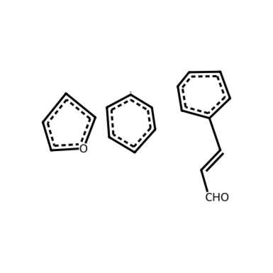 O=CC=Cc1ccccc1.[c]1ccccc1.c1ccoc1